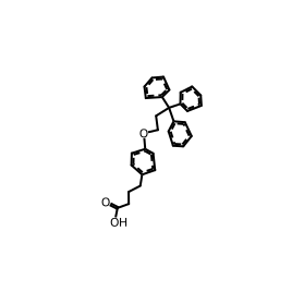 O=C(O)CCCc1ccc(OCCC(c2ccccc2)(c2ccccc2)c2ccccc2)cc1